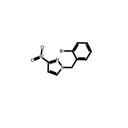 O=[N+]([O-])c1ccn(Cc2ccccc2Br)n1